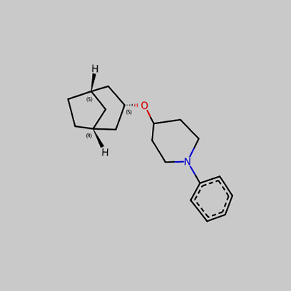 c1ccc(N2CCC(O[C@@H]3C[C@@H]4CC[C@@H](C4)C3)CC2)cc1